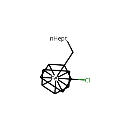 CCCCCCCC[C]12[CH]3[CH]4[CH]5[C]1(Cl)[Fe]45321678[CH]2[CH]1[CH]6[CH]7[CH]28